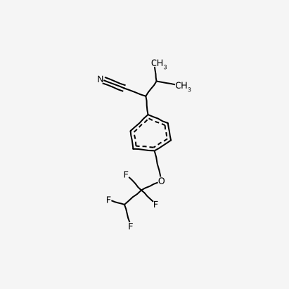 CC(C)C(C#N)c1ccc(OC(F)(F)C(F)F)cc1